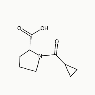 O=C(O)[C@H]1CCCN1C(=O)C1CC1